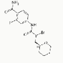 NC(=O)c1ccc(NC(=O)C(Br)C[C@@H]2CCCCO2)cc1F